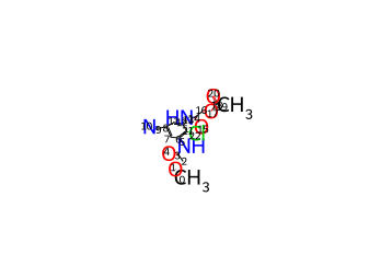 COCC(=O)Nc1cc(C#N)cc(NC(=O)COC(C)=O)c1Cl